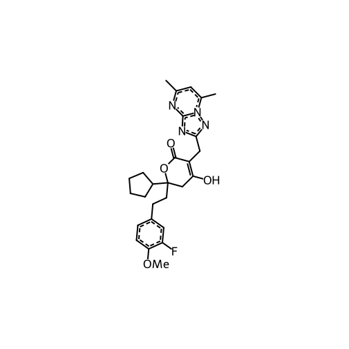 COc1ccc(CCC2(C3CCCC3)CC(O)=C(Cc3nc4nc(C)cc(C)n4n3)C(=O)O2)cc1F